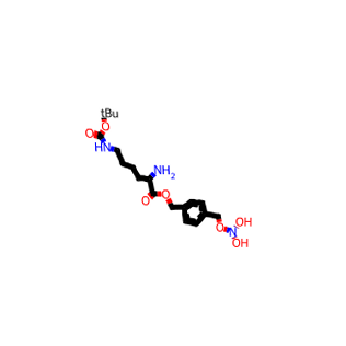 CC(C)(C)OC(=O)NCCCCC(N)C(=O)OCc1ccc(CON(O)O)cc1